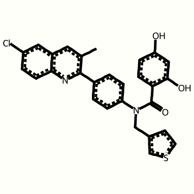 Cc1cc2cc(Cl)ccc2nc1-c1ccc(N(Cc2ccsc2)C(=O)c2ccc(O)cc2O)cc1